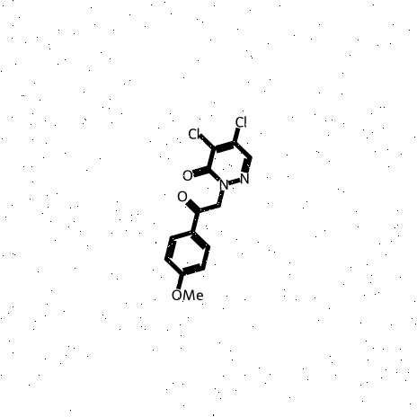 COc1ccc(C(=O)Cn2ncc(Cl)c(Cl)c2=O)cc1